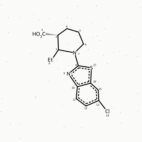 CCC1[C@H](C(=O)O)CCCN1c1nc2ccc(Cl)cc2s1